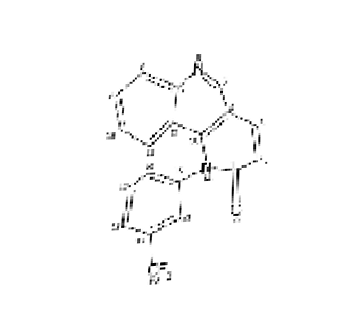 O=c1ccc2cnc3ccccc3c2n1-c1cccc(C(F)(F)F)c1